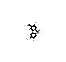 COc1cc2c(cc1I)[Si](C)(C)c1cc(I)c(CO)cc1-2